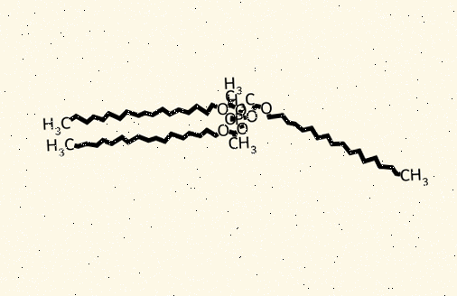 CCCCCCCCCCCCCCCCCCOC(C)OP(=O)(OC(C)OCCCCCCCCCCCCCCCCCC)OC(C)OCCCCCCCCCCCCCCCCCC